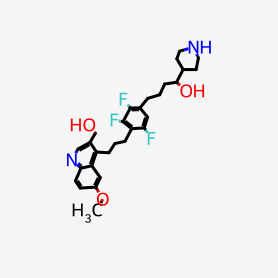 COc1ccc2ncc(CO)c(CCCc3c(F)cc(CCCC(O)C4CCNCC4)c(F)c3F)c2c1